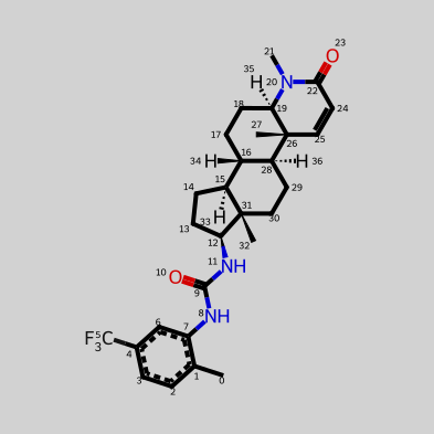 Cc1ccc(C(F)(F)F)cc1NC(=O)N[C@H]1CC[C@H]2[C@@H]3CC[C@H]4N(C)C(=O)C=C[C@]4(C)[C@H]3CC[C@]12C